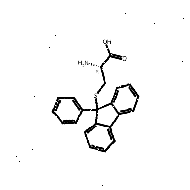 N[C@@H](CSC1(c2ccccc2)c2ccccc2-c2ccccc21)C(=O)O